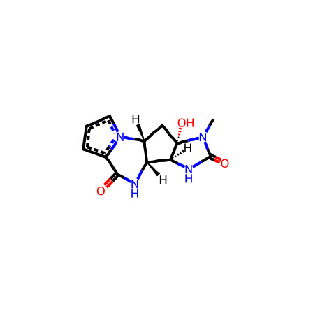 CN1C(=O)N[C@H]2[C@@H]3NC(=O)c4cccn4[C@@H]3C[C@]21O